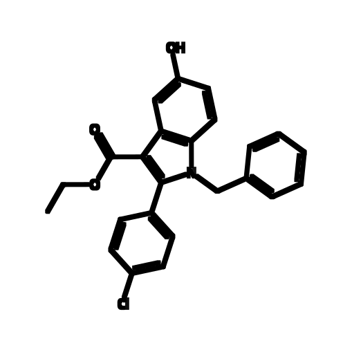 CCOC(=O)c1c(-c2ccc(Cl)cc2)n(Cc2ccccc2)c2ccc(O)cc12